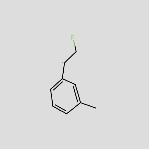 [CH2]c1cccc([CH]CF)c1